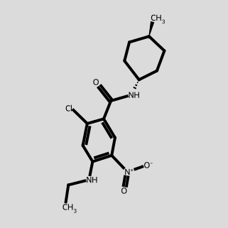 CCNc1cc(Cl)c(C(=O)N[C@H]2CC[C@H](C)CC2)cc1[N+](=O)[O-]